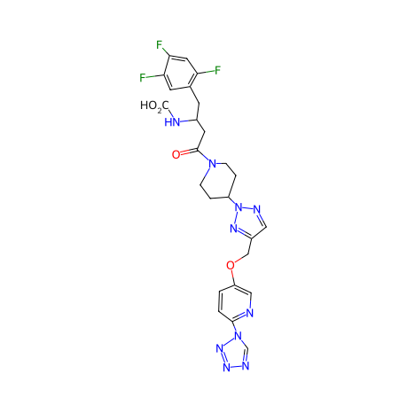 O=C(O)NC(CC(=O)N1CCC(n2ncc(COc3ccc(-n4cnnn4)nc3)n2)CC1)Cc1cc(F)c(F)cc1F